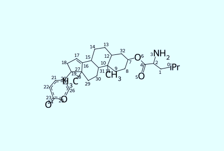 CC(C)CC(N)C(=O)OC1CCC2(C)C(CCC3C4=CCC(c5ccc(=O)oc5)C4(C)CCC32)C1